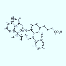 O=C(O)CCCC1CCN(C(=O)C(CCc2ccccc2Cl)NS(=O)(=O)c2cccc3[nH]ccc23)CC1